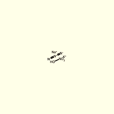 O=[N+]([O-])O.[K+].[N-]=[N+]=[N-].[Na+]